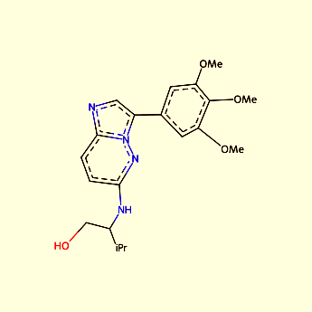 COc1cc(-c2cnc3ccc(NC(CO)C(C)C)nn23)cc(OC)c1OC